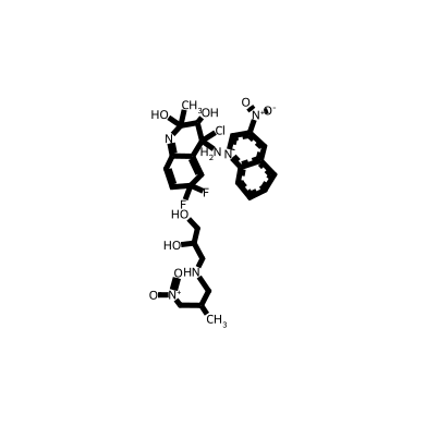 CC(CNCC(O)CO)C[N+](=O)[O-].CC1(O)N=C2C=CC(F)(F)C=C2C(N)(Cl)C1O.O=[N+]([O-])c1cnc2ccccc2c1